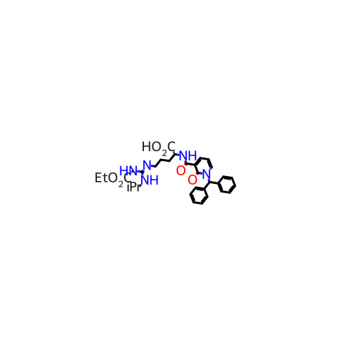 CCOC(=O)N/C(=N/CCC[C@H](NC(=O)c1cccn(C(c2ccccc2)c2ccccc2)c1=O)C(=O)O)NC(C)C